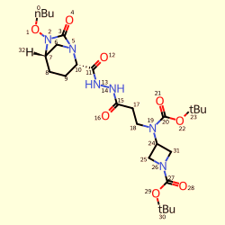 CCCCON1C(=O)N2C[C@@H]1CC[C@H]2C(=O)NNC(=O)CCN(C(=O)OC(C)(C)C)C1CN(C(=O)OC(C)(C)C)C1